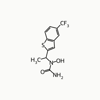 CC(c1cc2cc(C(F)(F)F)ccc2s1)N(O)C(N)=O